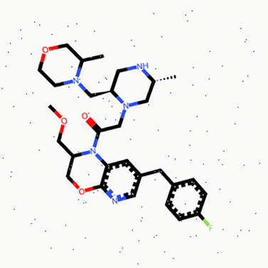 COCC1COc2ncc(Cc3ccc(F)cc3)cc2N1C(=O)CN1C[C@@H](C)NC[C@@H]1CN1CCOCC1C